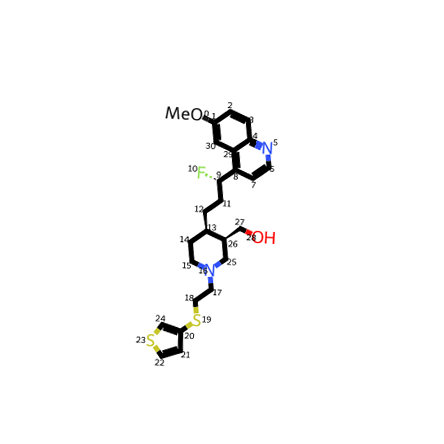 COc1ccc2nccc([C@@H](F)CC[C@@H]3CCN(CCSc4ccsc4)C[C@@H]3CO)c2c1